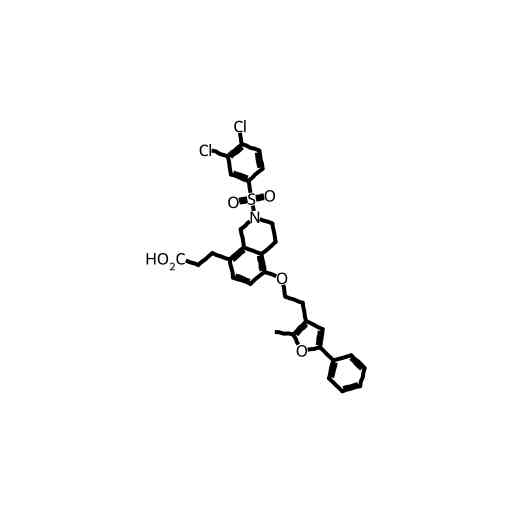 Cc1oc(-c2ccccc2)cc1CCOc1ccc(CCC(=O)O)c2c1CCN(S(=O)(=O)c1ccc(Cl)c(Cl)c1)C2